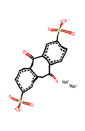 O=C1c2ccc(S(=O)(=O)[O-])cc2C(=O)c2ccc(S(=O)(=O)[O-])cc21.[Na+].[Na+]